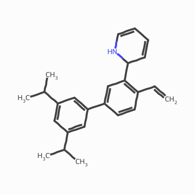 C=Cc1ccc(-c2cc(C(C)C)cc(C(C)C)c2)cc1C1C=CC=CN1